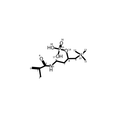 C=C(C)C(=O)NCCC(C[N+](C)(C)C)OP(=O)(O)O